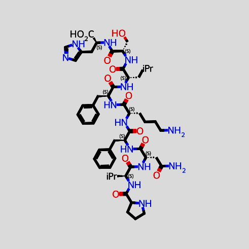 CC(C)C[C@H](NC(=O)[C@H](Cc1ccccc1)NC(=O)[C@H](CCCCN)NC(=O)[C@H](Cc1ccccc1)NC(=O)[C@H](CC(N)=O)NC(=O)[C@@H](NC(=O)C1CCCN1)C(C)C)C(=O)N[C@@H](CO)C(=O)N[C@@H](Cc1cnc[nH]1)C(=O)O